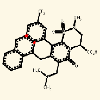 CN(C)Cc1c(Cc2cccc3ccccc23)c(-c2cccc(C(F)(F)F)c2)c2n(c1=O)C(C(=O)O)CN(C)S2(=O)=O